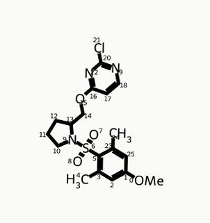 COc1cc(C)c(S(=O)(=O)N2CCCC2COc2ccnc(Cl)n2)c(C)c1